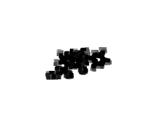 Cc1cc(C)c(C(Cl)=N[C@]2(Br)C(=O)N3[C@@H](C(=O)OC(C)(C)C)C(C)(C)S[C@@H]32)cc1C